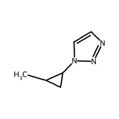 CC1CC1n1ccnn1